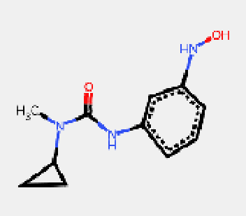 CN(C(=O)Nc1cccc(NO)c1)C1CC1